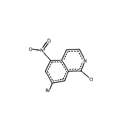 O=[N+]([O-])c1cc(Br)cc2c(Cl)nccc12